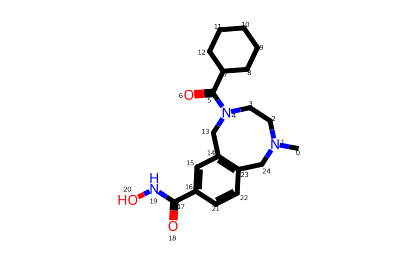 CN1CCN(C(=O)C2CCCCC2)Cc2cc(C(=O)NO)ccc2C1